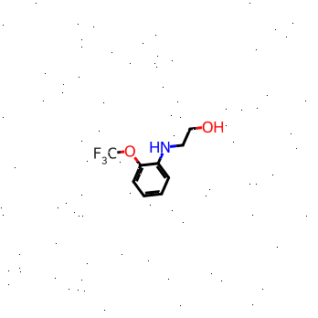 OCCNc1ccccc1OC(F)(F)F